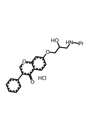 CC(C)NCC(O)COc1ccc2c(=O)c(-c3ccccc3)coc2c1.Cl